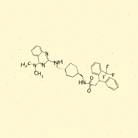 CN(C)c1nc(NC[C@H]2CC[C@H](CNS(=O)(=O)CC(c3ccccc3)c3ccccc3C(F)(F)F)CC2)nc2ccccc12